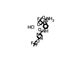 CC(F)(F)COc1cnc(C(=O)Nc2ccc(F)c(C34COCC3(F)COC(N)=N4)c2)cn1.Cl